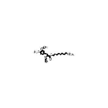 CCCCCCCCCCCCCCCCCCOC(=O)C(Cc1ccc(C)c(OC#N)c1)N=C=O